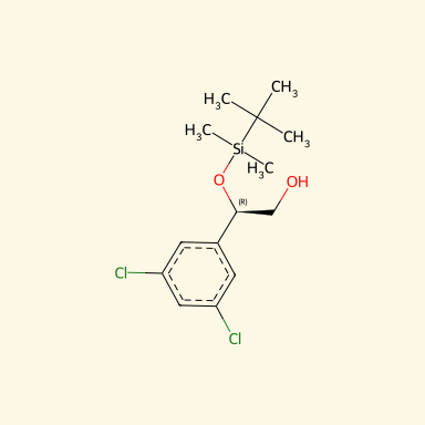 CC(C)(C)[Si](C)(C)O[C@@H](CO)c1cc(Cl)cc(Cl)c1